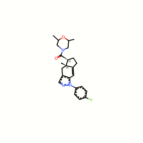 CC1CN(C(=O)[C@H]2CCC3=Cc4c(cnn4-c4ccc(F)cc4)C[C@@]32C)CC(C)O1